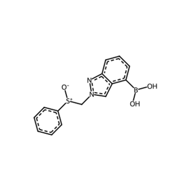 [O-][S+](Cn1cc2c(B(O)O)cccc2n1)c1ccccc1